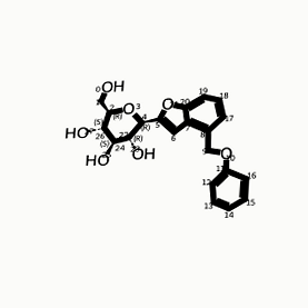 OC[C@H]1O[C@@H](c2cc3c(COc4ccccc4)cccc3o2)[C@H](O)[C@@H](O)[C@@H]1O